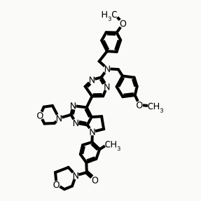 COc1ccc(CN(Cc2ccc(OC)cc2)c2ncc(-c3nc(N4CCOCC4)nc4c3CCN4c3ccc(C(=O)N4CCOCC4)cc3C)cn2)cc1